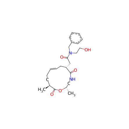 C[C@H]1CNC(=O)[C@@H](CC(=O)N(CCO)Cc2ccccc2)C/C=C/CC[C@H](C)C(=O)O1